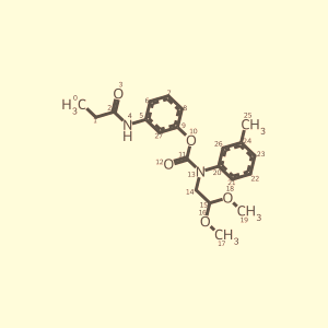 CCC(=O)Nc1cccc(OC(=O)N(CC(OC)OC)c2cccc(C)c2)c1